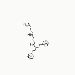 NCCCNCCCNC(CCC1CC2C=CC1CC2)CCC1CC2C=CC1CC2